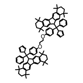 CC1(C)CCC(C)(C)c2cc3c(cc21)-c1cc2c(cc1C3C(c1ccccc1)(c1ccc(OCCOc3ccc(C(c4ccccc4)(C4C=CC=C4)C4c5cc6c(cc5-c5cc7c(cc54)C(C)(C)CCC7(C)C)C(C)(C)CCC6(C)C)cc3)cc1)C1C=CC=C1)C(C)(C)CCC2(C)C